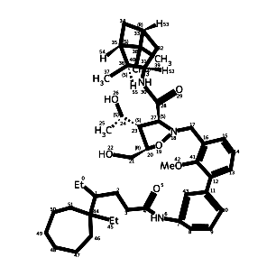 CCC(CCC(=O)Nc1cccc(-c2cccc(CN3O[C@@H](CO)[C@H]([C@H](C)O)[C@H]3C(=O)N[C@H]3C[C@H]4C[C@@H]([C@@H]3C)C4(C)C)c2OC)c1)C1(CC)CCCCCC1